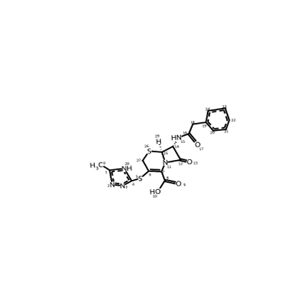 Cc1nnc(SC2=C(C(=O)O)N3C(=O)[C@@H](NC(=O)Cc4ccccc4)[C@@H]3SC2)[nH]1